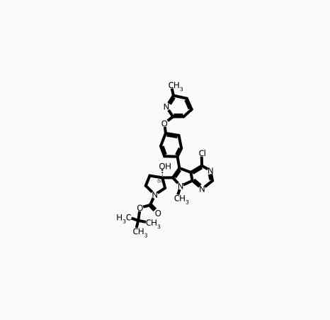 Cc1cccc(Oc2ccc(-c3c([C@]4(O)CCN(C(=O)OC(C)(C)C)C4)n(C)c4ncnc(Cl)c34)cc2)n1